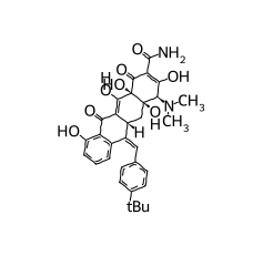 CN(C)[C@@H]1C(O)=C(C(N)=O)C(=O)[C@@]2(O)C(O)=C3C(=O)c4c(O)cccc4/C(=C\c4ccc(C(C)(C)C)cc4)[C@H]3C[C@@]12O